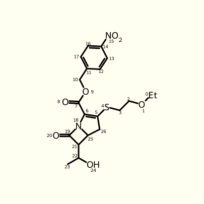 CCOCCSC1=C(C(=O)OCc2ccc([N+](=O)[O-])cc2)N2C(=O)C(C(C)O)C2C1